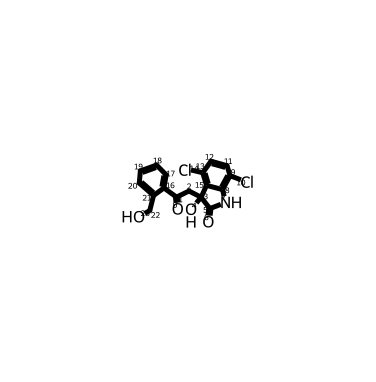 O=C(CC1(O)C(=O)Nc2c(Cl)ccc(Cl)c21)c1ccccc1CO